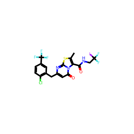 Cc1sc2nc(Cc3cc(C(F)(F)F)ccc3Cl)cc(=O)n2c1C(=O)NCC(F)(F)I